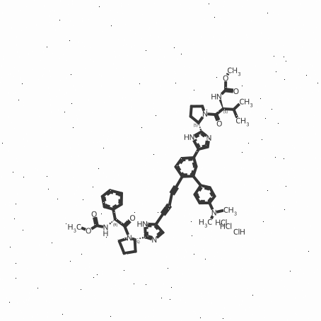 COC(=O)N[C@H](C(=O)N1CCC[C@H]1c1ncc(-c2ccc(C#CC#Cc3cnc([C@@H]4CCCN4C(=O)[C@H](NC(=O)OC)c4ccccc4)[nH]3)c(-c3ccc(N(C)C)cc3)c2)[nH]1)C(C)C.Cl.Cl.Cl